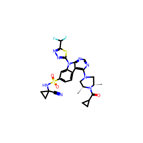 C[C@@H]1CN(c2ncnc3c2c2ccc(S(=O)(=O)NC4(C#N)CC4)cc2n3-c2nnc(C(F)F)s2)C[C@H](C)N1C(=O)C1CC1